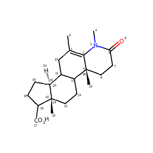 CC1=C2N(C)C(=O)CC[C@]2(C)C2CC[C@]3(C)C(C(=O)O)CC[C@H]3C2C1